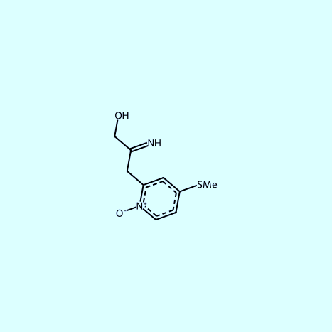 CSc1cc[n+]([O-])c(CC(=N)CO)c1